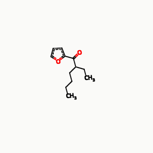 CCCCC(CC)C(=O)c1ccco1